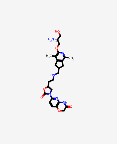 Cc1nc(OC[C@H](N)CO)c(C)c2c1CC(CNCCC1CN(c3ccc4c(n3)NC(=O)CO4)C(=O)O1)C2